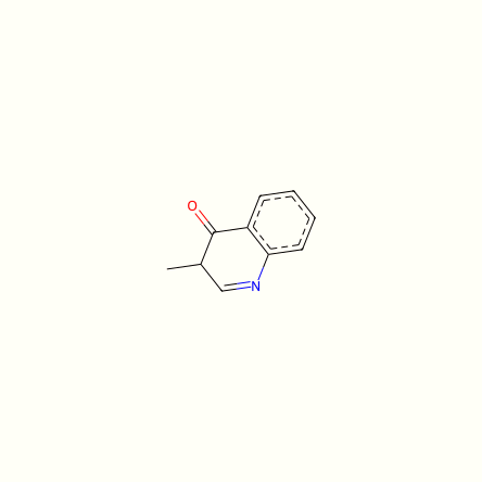 CC1C=Nc2ccccc2C1=O